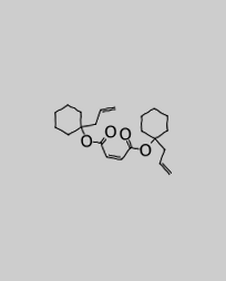 C=CCC1(OC(=O)/C=C\C(=O)OC2(CC=C)CCCCC2)CCCCC1